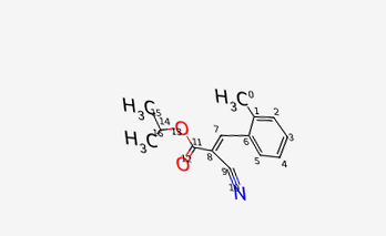 Cc1ccccc1/C=C(\C#N)C(=O)OC(C)C